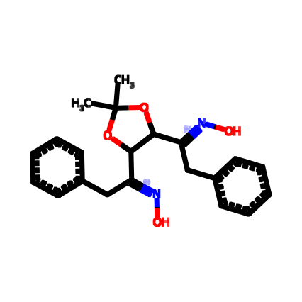 CC1(C)OC(/C(Cc2ccccc2)=N/O)C(/C(Cc2ccccc2)=N/O)O1